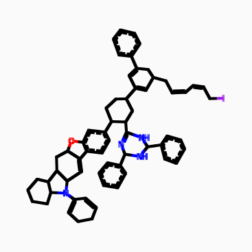 IC/C=C\C=C/CC1C=C(C2CCC(c3ccc4c(c3)OC3CC5C6CCCCC6N(C6=CCCC=C6)C5C=C43)C(C3=NC(c4ccccc4)NC(c4ccccc4)N3)C2)C=C(c2ccccc2)C1